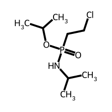 CC(C)NP(=O)(CCCl)OC(C)C